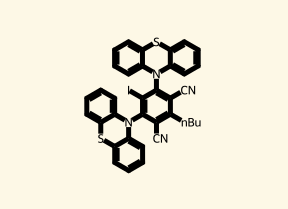 CCCCc1c(C#N)c(N2c3ccccc3Sc3ccccc32)c(I)c(N2c3ccccc3Sc3ccccc32)c1C#N